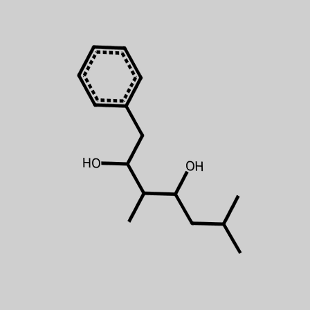 CC(C)CC(O)C(C)C(O)Cc1ccccc1